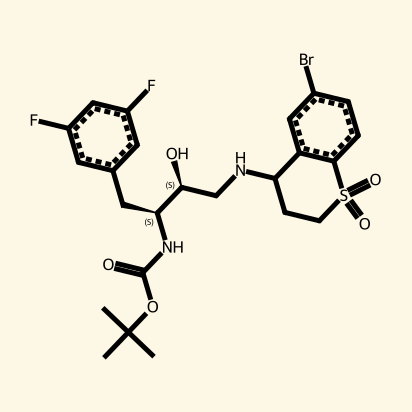 CC(C)(C)OC(=O)N[C@@H](Cc1cc(F)cc(F)c1)[C@@H](O)CNC1CCS(=O)(=O)c2ccc(Br)cc21